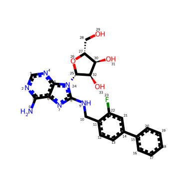 Nc1ncnc2c1nc(NCc1ccc(-c3ccccc3)cc1F)n2[C@@H]1O[C@H](CO)[C@@H](O)[C@H]1O